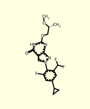 CO[C@H](C)COc1nc2nn(-c3c(F)cc(C4CC4)cc3C(F)F)cc2c(=O)[nH]1